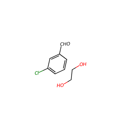 O=Cc1cccc(Cl)c1.OCCO